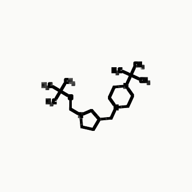 CC(C)(C)OCN1CCC(CN2CCN(C(C)(C)C)CC2)C1